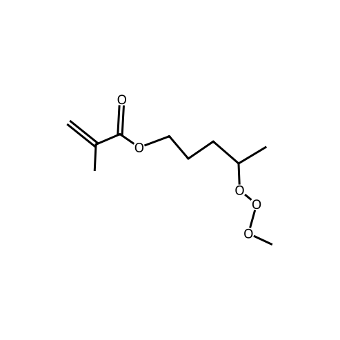 C=C(C)C(=O)OCCCC(C)OOOC